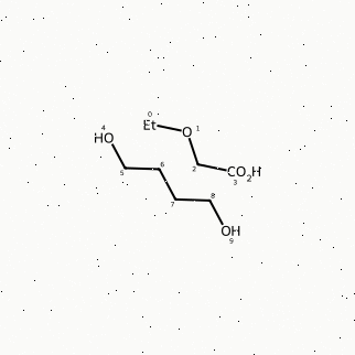 CCOCC(=O)O.OCCCCO